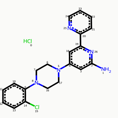 Cl.Nc1cc(N2CCN(c3ccccc3Cl)CC2)cc(-c2ccccn2)n1